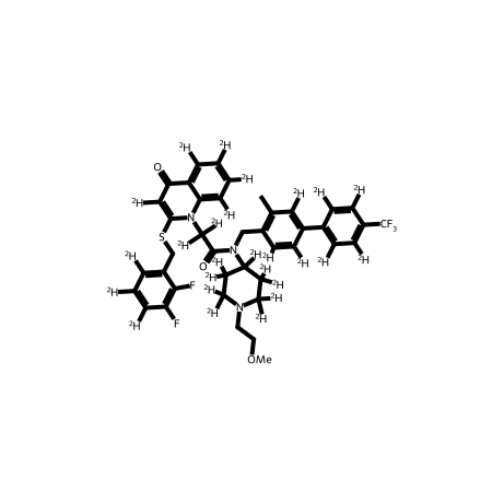 [2H]c1c([2H])c(F)c(F)c(CSc2c([2H])c(=O)c3c([2H])c([2H])c([2H])c([2H])c3n2C([2H])([2H])C(=O)N(Cc2c([2H])c([2H])c(-c3c([2H])c([2H])c(C(F)(F)F)c([2H])c3[2H])c([2H])c2C)C2([2H])C([2H])([2H])C([2H])([2H])N(CCOC)C([2H])([2H])C2([2H])[2H])c1[2H]